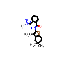 CN(N)Cc1ccccc1C(=O)Nc1sc2c(c1C(=O)O)CC(C)(C)CC2